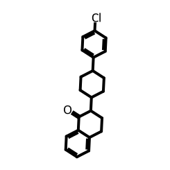 O=C1c2ccccc2CCC1C1CCC(c2ccc(Cl)cc2)CC1